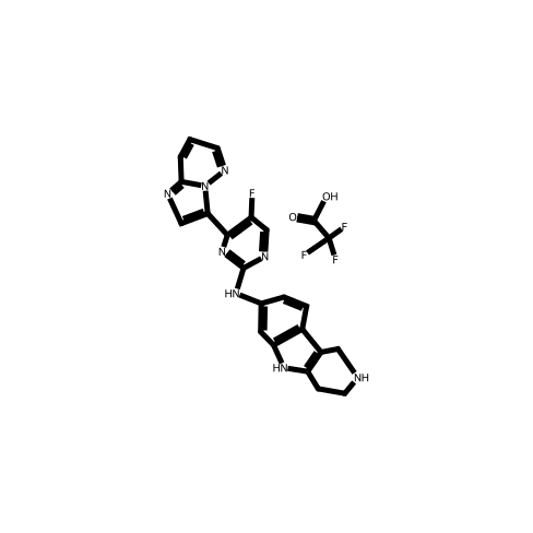 Fc1cnc(Nc2ccc3c4c([nH]c3c2)CCNC4)nc1-c1cnc2cccnn12.O=C(O)C(F)(F)F